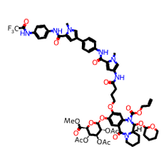 C=CCOC(=O)N1c2cc(OCCCC(=O)Nc3cc(C(=O)Nc4ccc(-c5cc(C(=O)Nc6ccc(NC(=O)C(F)(F)F)cc6)n(C)c5)cc4)n(C)c3)c(O[C@@H]3O[C@H](C(=O)OC)[C@@H](OC(C)=O)[C@H](OC(C)=O)[C@H]3OC(C)=O)cc2C(=O)N2CCCC[C@H]2C1OC1CCCCO1